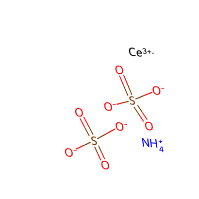 O=S(=O)([O-])[O-].O=S(=O)([O-])[O-].[Ce+3].[NH4+]